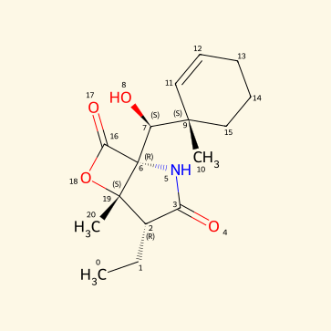 CC[C@H]1C(=O)N[C@@]2([C@@H](O)[C@]3(C)C=CCCC3)C(=O)O[C@@]12C